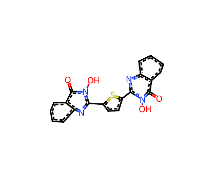 O=c1c2ccccc2nc(-c2ccc(-c3nc4ccccc4c(=O)n3O)s2)n1O